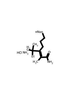 CCCCCCCCCCCCC(=C(C)C(N)=O)C(C)(C)CC.Cl.N